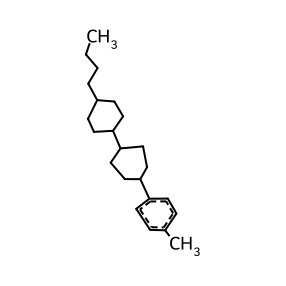 CCCCC1CCC(C2CCC(c3ccc(C)cc3)CC2)CC1